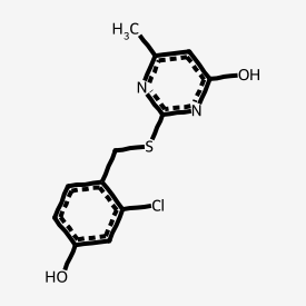 Cc1cc(O)nc(SCc2ccc(O)cc2Cl)n1